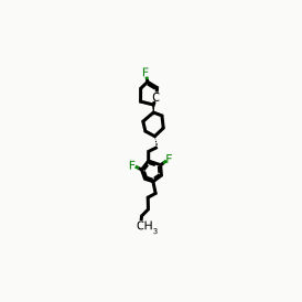 CCCCCc1cc(F)c(CC[C@H]2CC[C@H](C3CC=C(F)CC3)CC2)c(F)c1